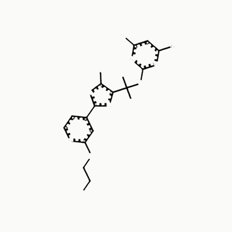 [2H]C([2H])(Sc1nc(N)cc(N)n1)c1nc(-c2ccnc(OCCF)c2)sc1CCC